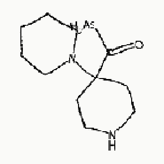 O=C([AsH2])C1(N2CCCCC2)CCNCC1